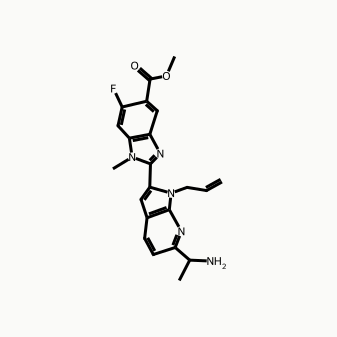 C=CCn1c(-c2nc3cc(C(=O)OC)c(F)cc3n2C)cc2ccc(C(C)N)nc21